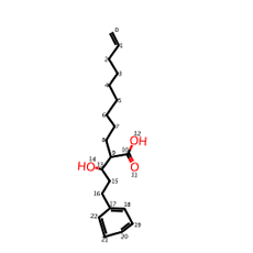 C=CCCCCCCCC(C(=O)O)C(O)CCc1ccccc1